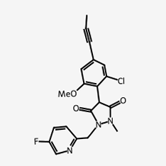 CC#Cc1cc(Cl)c(C2C(=O)N(C)N(Cc3ccc(F)cn3)C2=O)c(OC)c1